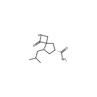 CC(C)CN1C[C@@H](C(N)=O)CC12CNC2=O